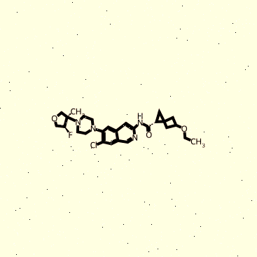 CCOC1CC2(C1)C[C@H]2C(=O)Nc1cc2cc(N3CCN([C@]4(C)COC[C@@H]4F)CC3)c(Cl)cc2cn1